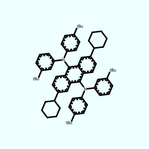 CC(C)(C)c1ccc(N(c2cccc(C(C)(C)C)c2)c2c3ccc(C4CCCCC4)cc3c(N(c3ccc(C(C)(C)C)cc3)c3cccc(C(C)(C)C)c3)c3ccc(C4CCCCC4)cc23)cc1